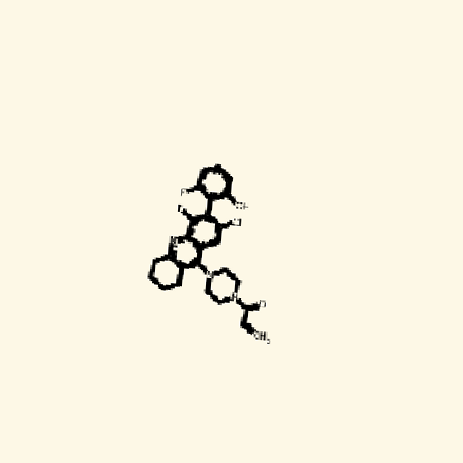 C=CC(=O)N1CCN(c2c3c(nc4c(F)c(-c5c(O)cccc5F)c(Cl)cc24)CCCC3)CC1